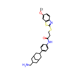 CCOc1ccc2nc(SCCC(=O)Nc3ccc(C4CC5CC(CN)CC(C5)C4)cc3)sc2c1